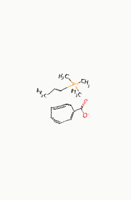 CCC[P+](C)(C)C.O=C([O-])c1ccccc1